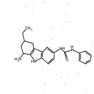 CCC1Cc2c([nH]c3ccc(NC(=O)Nc4ccccc4)cc23)C(N)C1